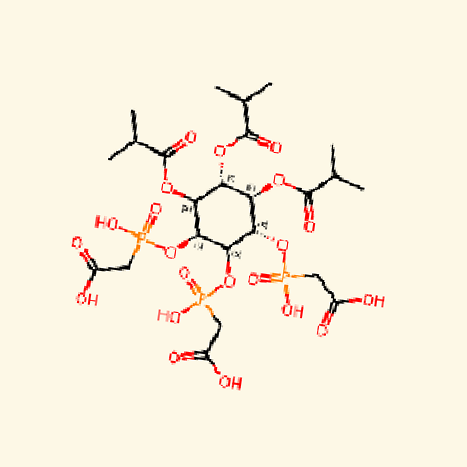 CC(C)C(=O)O[C@@H]1[C@@H](OC(=O)C(C)C)[C@H](OP(=O)(O)CC(=O)O)[C@@H](OP(=O)(O)CC(=O)O)[C@@H](OP(=O)(O)CC(=O)O)[C@H]1OC(=O)C(C)C